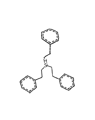 c1ccc(CC[SiH](CCc2ccccc2)CCc2ccccc2)cc1